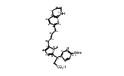 COc1ccc(C(CC(=O)O)c2ncc(CCCCc3ccc4c(n3)NCCC4)n2C)cn1